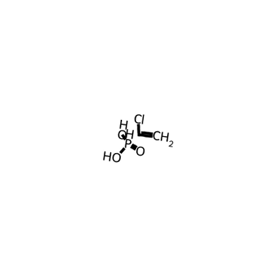 C=CCl.O=[PH](O)O